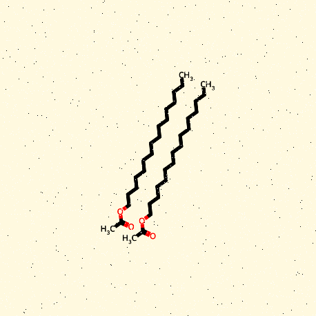 CCCCCCCCCCCCCCCCOC(C)=O.CCCCCCCCCCCCCCCCOC(C)=O